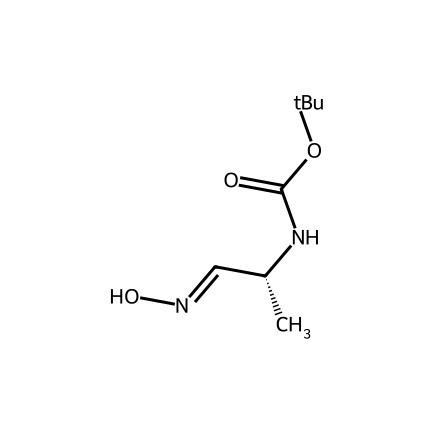 C[C@H](C=NO)NC(=O)OC(C)(C)C